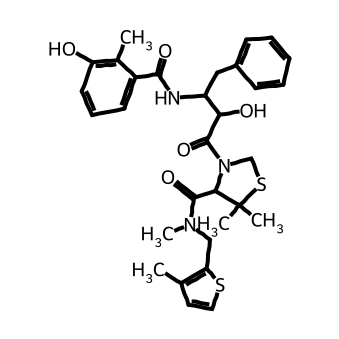 Cc1ccsc1CN(C)C(=O)C1N(C(=O)C(O)C(Cc2ccccc2)NC(=O)c2cccc(O)c2C)CSC1(C)C